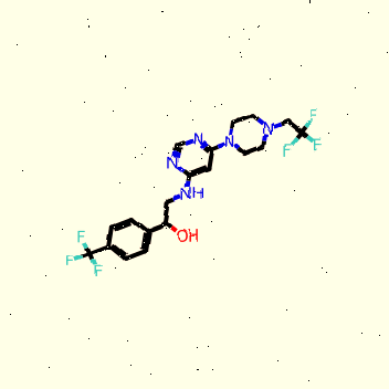 OC(CNc1cc(N2CCN(CC(F)(F)F)CC2)ncn1)c1ccc(C(F)(F)F)cc1